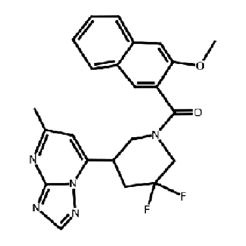 COc1cc2ccccc2cc1C(=O)N1CC(c2cc(C)nc3ncnn23)CC(F)(F)C1